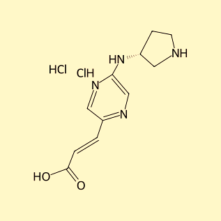 Cl.Cl.O=C(O)/C=C/c1cnc(N[C@@H]2CCNC2)cn1